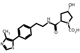 Cc1ncsc1-c1ccc(CCNC(=O)[C@H]2C[C@H](O)CN2C(=O)O)cc1